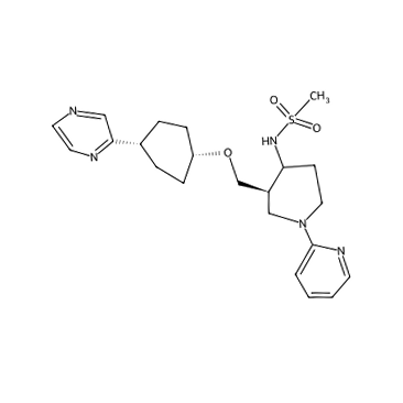 CS(=O)(=O)NC1CCN(c2ccccn2)C[C@H]1CO[C@H]1CC[C@@H](c2cnccn2)CC1